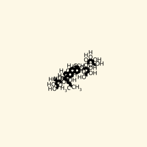 CC(C)=CCC[C@](C)(O[C@@H]1OC(CO)[C@@H](O)C(O)C1O)[C@H]1CC[C@]2(C)[C@@H]1[C@H](O)C[C@@H]1[C@@]3(C)CC[C@H](O[C@@H]4OC(CO)[C@@H](O)C(O)C4O[C@@H]4OC(CO)[C@@H](O)C(O)C4O)C(C)(C)[C@@H]3CC[C@]12C